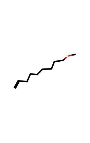 C=CCCCCCC[CH]OC